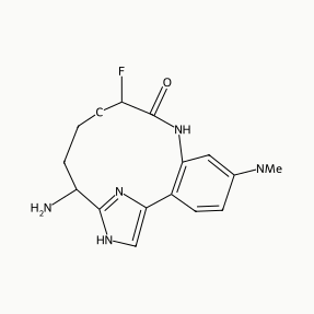 CNc1ccc2c(c1)NC(=O)C(F)CCCC(N)c1nc-2c[nH]1